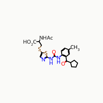 CC(=O)NC(CSc1cnc(NC(=O)Nc2ccc(C)cc2C(=O)C2CCCC2)s1)C(=O)O